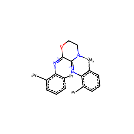 CC(C)c1cccc(C(C)C)c1/N=C1/C(=N\c2c(C(C)C)cccc2C(C)C)OCCN1C